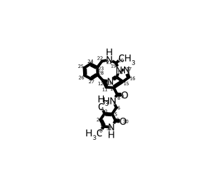 Cc1cc(C)c(CNC(=O)c2cc3nc4c2cnn4C(C)NCc2ccccc2-3)c(=O)[nH]1